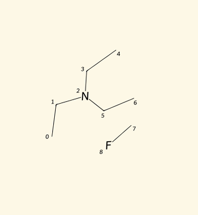 CCN(CC)CC.CF